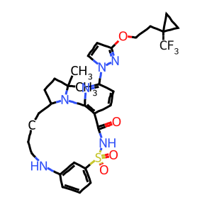 CC1(C)CCC2CCCCNc3cccc(c3)S(=O)(=O)NC(=O)c3ccc(-n4ccc(OCCC5(C(F)(F)F)CC5)n4)nc3N21